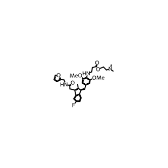 COc1cc(C=C2C(C)=C(CC(=O)NCc3ccco3)c3cc(F)ccc32)cc(OC)c1NCCC(=O)OCCN(C)C